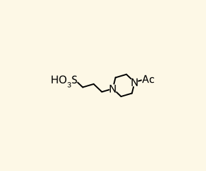 CC(=O)N1CCN(CCCS(=O)(=O)O)CC1